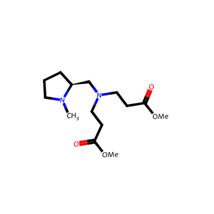 COC(=O)CCN(CCC(=O)OC)C[C@@H]1CCCN1C